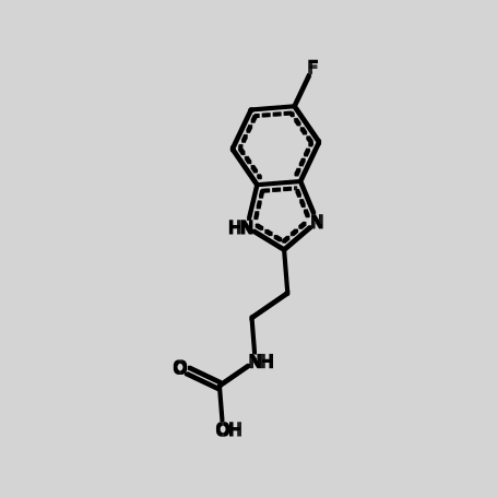 O=C(O)NCCc1nc2cc(F)ccc2[nH]1